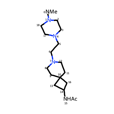 CNN1CCN(CCN2CCC3(CC2)CC(NC(C)=O)C3)CC1